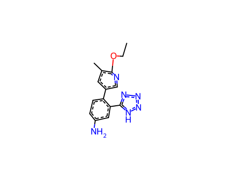 CCOc1ncc(-c2ccc(N)cc2-c2nnn[nH]2)cc1C